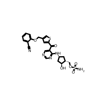 N#Cc1ccccc1OCc1csc(C(=O)c2cncnc2N[C@@H]2C[C@H](COS(N)(=O)=O)[C@@H](O)C2)c1